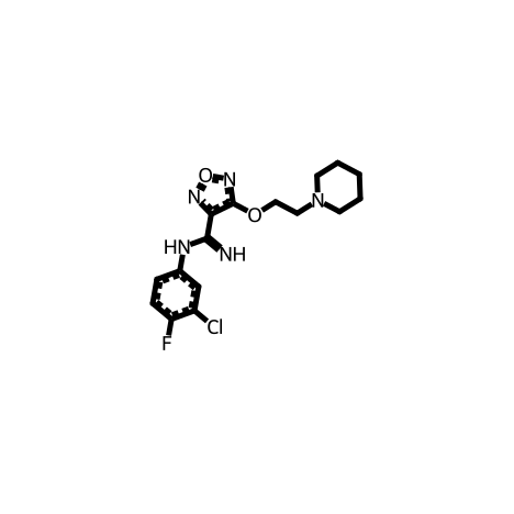 N=C(Nc1ccc(F)c(Cl)c1)c1nonc1OCCN1CCCCC1